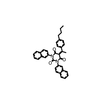 CCCCc1ccc(C(C)=C2C(=O)N(c3ccc4ccccc4c3)C(=O)N(c3ccc4ccccc4c3)C2=O)cc1